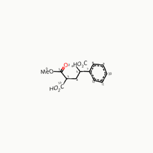 COC(=O)C(CC(C(=O)O)c1ccccc1)C(=O)O